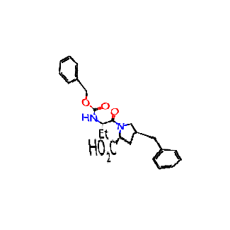 CC[C@H](NC(=O)OCc1ccccc1)C(=O)N1C[C@@H](Cc2ccccc2)C[C@H]1C(=O)O